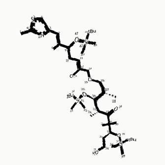 C/C(=C\c1csc(C)n1)C(C/C=C(\Cl)COC[C@H](C)[C@H](O[Si](C)(C)C(C)(C)C)[C@@H](C)C(=O)C(C)(C)[C@H](CCO)O[Si](C)(C)C(C)(C)C)O[Si](C)(C)C(C)(C)C